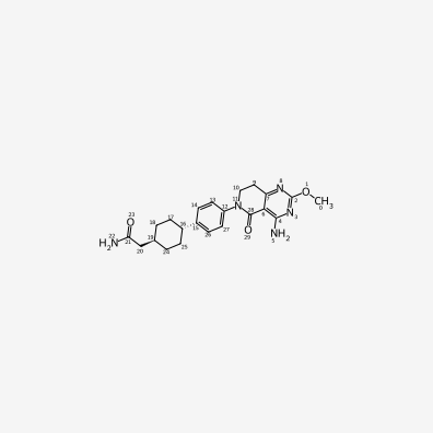 COc1nc(N)c2c(n1)CCN(c1ccc([C@H]3CC[C@H](CC(N)=O)CC3)cc1)C2=O